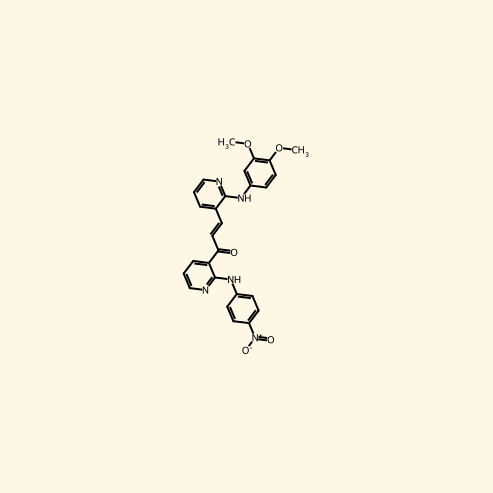 COc1ccc(Nc2ncccc2C=CC(=O)c2cccnc2Nc2ccc([N+](=O)[O-])cc2)cc1OC